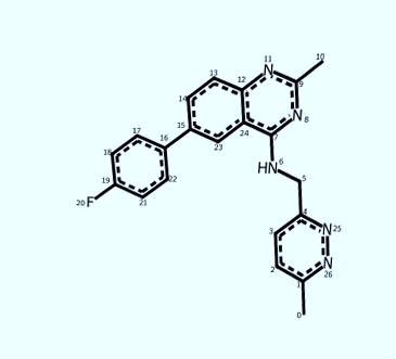 Cc1ccc(CNc2nc(C)nc3ccc(-c4ccc(F)cc4)cc23)nn1